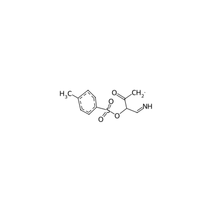 [CH2]C(=O)C(C=N)OS(=O)(=O)c1ccc(C)cc1